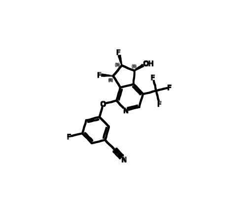 N#Cc1cc(F)cc(Oc2ncc(C(F)(F)F)c3c2[C@@H](F)[C@@H](F)[C@H]3O)c1